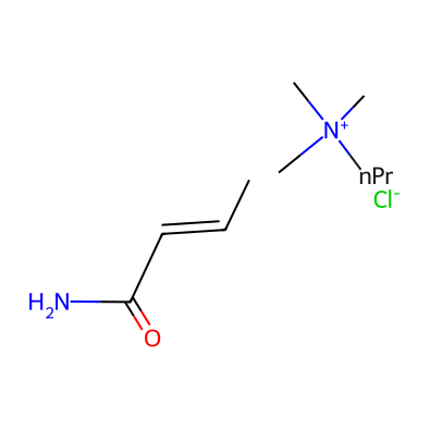 CC=CC(N)=O.CCC[N+](C)(C)C.[Cl-]